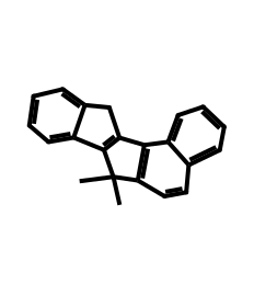 CC1(C)C2=C(Cc3ccccc32)c2c1ccc1ccccc21